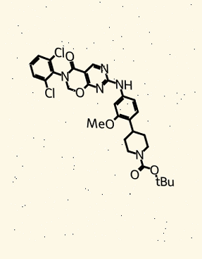 COc1cc(Nc2ncc3c(n2)OCN(c2c(Cl)cccc2Cl)C3=O)ccc1C1CCN(C(=O)OC(C)(C)C)CC1